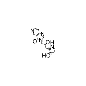 O=C(C[C@H]1NCC[C@@H]1O)Cn1cnc2ccncc2c1=O